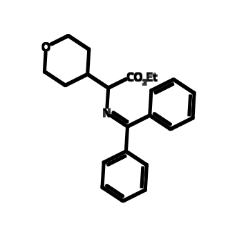 CCOC(=O)C(N=C(c1ccccc1)c1ccccc1)C1CCOCC1